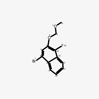 COCOc1cc(Br)c2ccccc2c1F